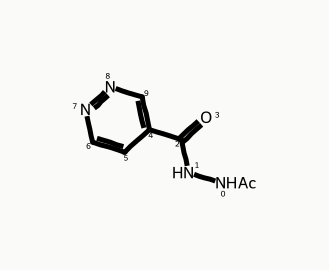 CC(=O)NNC(=O)c1ccnnc1